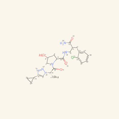 CC(C)(C)[C@@H](C(=O)N1CC(O)CC1C(=O)NCC(Cc1ccccc1Cl)C(N)=O)n1cc(C2CC2)nn1